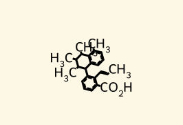 CC=Cc1c(C(=O)O)cccc1C1c2cccc(C)c2C(C)C(C)C1C